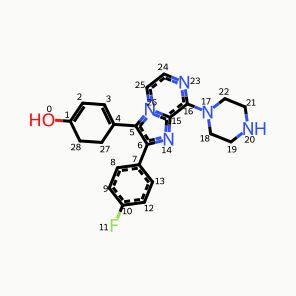 OC1=CC=C(c2c(-c3ccc(F)cc3)nc3c(N4CCNCC4)nccn23)CC1